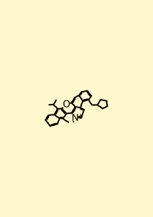 Cc1c2c(c(C(C)C)c3ccccc13)Oc1cc3cccc(CC4CCCC4)c3c3cc[n+](C)c-2c13